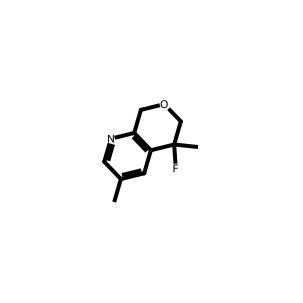 Cc1cnc2c(c1)C(C)(F)COC2